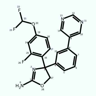 NC1=NC(c2cccc(-c3cncnc3)c2)(c2ccc(OC(F)F)cc2F)CO1